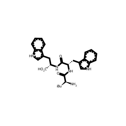 CC[C@H](C)[C@H](N)C(=O)N[C@@H](Cc1c[nH]c2ccccc12)C(=O)N[C@@H](Cc1c[nH]c2ccccc12)C(=O)O